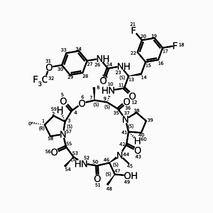 C[C@@H]1C[C@H]2C(=O)O[C@@H](C)[C@H](NC(=O)[C@H](Cc3cc(F)cc(F)c3)NC(=O)Nc3ccc(OC(F)(F)F)cc3)C(=O)N3CCC[C@H]3C(=O)N(C)[C@@H]([C@H](C)O)C(=O)N[C@@H](C)C(=O)N2C1